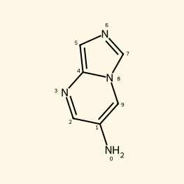 Nc1cnc2cncn2c1